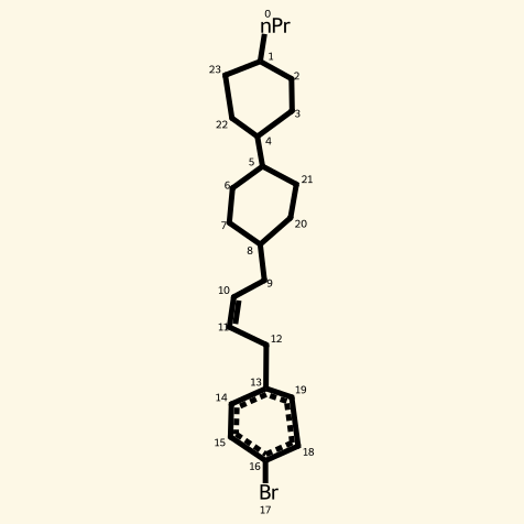 CCCC1CCC(C2CCC(C/C=C\Cc3ccc(Br)cc3)CC2)CC1